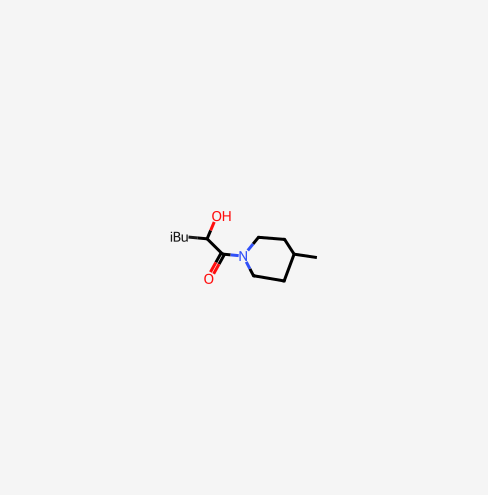 CCC(C)C(O)C(=O)N1CCC(C)CC1